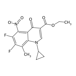 CCOC(=O)c1cn(C2CC2)c2c(C)c(F)c(F)c([N+](=O)[O-])c2c1=O